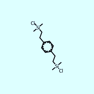 C[Si](C)(Cl)CCc1ccc(CC[Si](C)(C)Cl)cc1